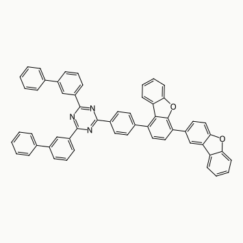 c1ccc(-c2cccc(-c3nc(-c4ccc(-c5ccc(-c6ccc7oc8ccccc8c7c6)c6oc7ccccc7c56)cc4)nc(-c4cccc(-c5ccccc5)c4)n3)c2)cc1